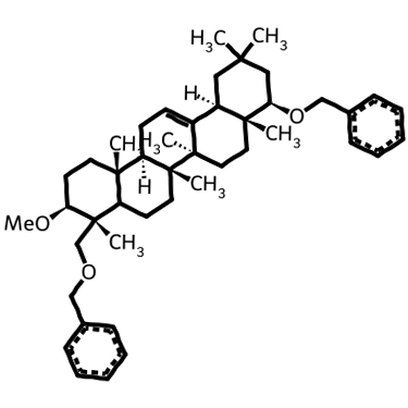 CO[C@H]1CC[C@@]2(C)C(CC[C@]3(C)[C@@H]2CC=C2[C@H]4CC(C)(C)C[C@@H](OCc5ccccc5)[C@]4(C)CC[C@]23C)[C@]1(C)COCc1ccccc1